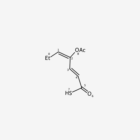 CCC=C(C=CC(=O)S)OC(C)=O